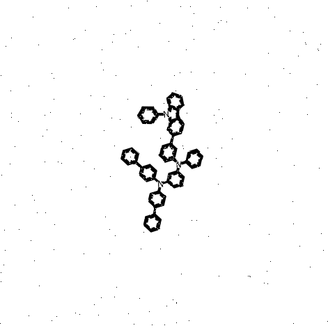 c1ccc(-c2ccc(N(c3ccc(-c4ccccc4)cc3)c3cccc(N(c4ccccc4)c4cccc(-c5ccc6c7ccccc7n(-c7ccccc7)c6c5)c4)c3)cc2)cc1